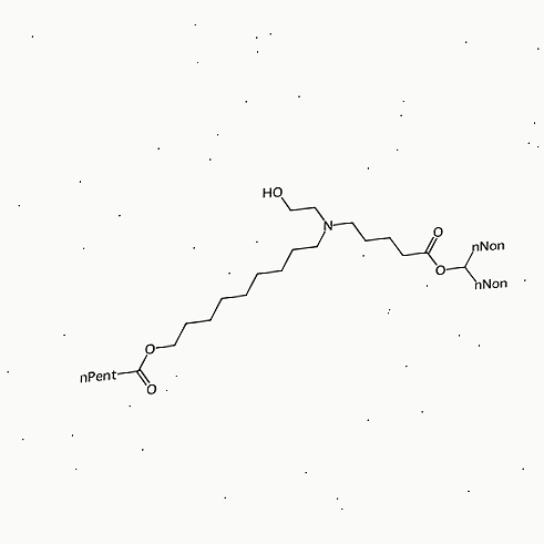 CCCCCCCCCC(CCCCCCCCC)OC(=O)CCCCN(CCO)CCCCCCCCCOC(=O)CCCCC